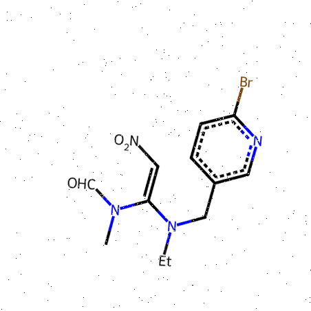 CCN(Cc1ccc(Br)nc1)C(=C[N+](=O)[O-])N(C)C=O